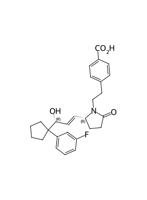 O=C(O)c1ccc(CCN2C(=O)CC[C@@H]2C=C[C@@H](O)C2(c3cccc(F)c3)CCCC2)cc1